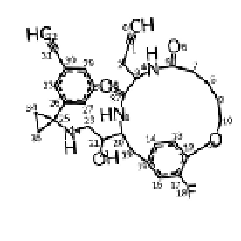 C#CCC1NC(=O)CCCCOc2ccc(cc2F)CC(C(O)CNC2(c3cccc(C#C)c3)CC2)NC1=O